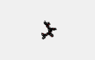 c1ccc(-n2c3ccccc3c3cc(-c4ccc5c(c4)c4cc6ccccc6cc4n5-c4ccc(-n5c6ccc(-c7ccc8c(c7)c7ccccc7n8-c7ccccc7)cc6c6cc7ccccc7cc65)nc4)ccc32)cc1